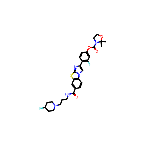 CC1(C)OCCN1C(=O)Oc1ccc(-c2cn3c(n2)sc2cc(C(=O)NCCCN4CCC(F)CC4)ccc23)c(F)c1